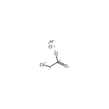 O=C(Cl)CCl.[Cl-].[H+]